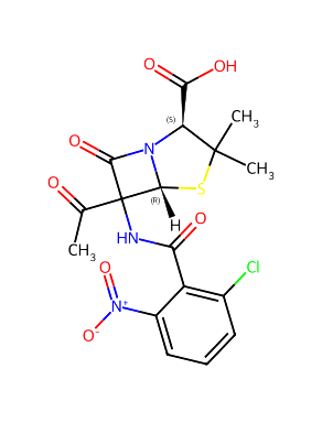 CC(=O)C1(NC(=O)c2c(Cl)cccc2[N+](=O)[O-])C(=O)N2[C@@H](C(=O)O)C(C)(C)S[C@@H]21